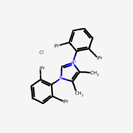 Cc1c(C)[n+](-c2c(C(C)C)cccc2C(C)C)cn1-c1c(C(C)C)cccc1C(C)C.[Cl-]